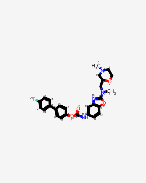 CN1CCOC(CN(C)c2nc3cc(NC(=O)Oc4ccc(-c5ccc(F)cc5)cc4)ccc3o2)C1